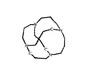 C1CN2CCCN3CCCN4CCCN(C1)CC(CC2)(C3)C4